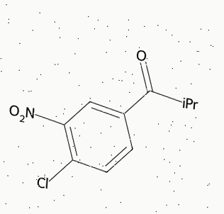 CC(C)C(=O)c1ccc(Cl)c([N+](=O)[O-])c1